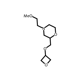 COCCN1CCOC(COC2COC2)C1